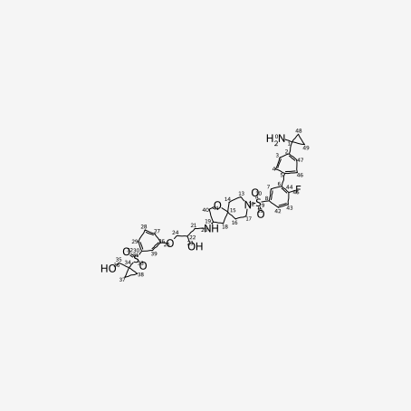 NC1(c2ccc(-c3cc(S(=O)(=O)N4CCC5(CC4)C[C@@H](NCC(O)COc4cccc(S(=O)(=O)C6(CO)CC6)c4)CO5)ccc3F)cc2)CC1